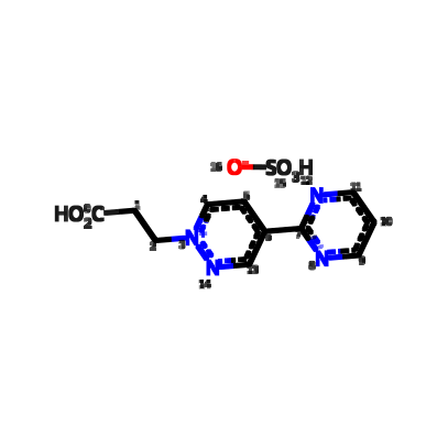 O=C(O)CC[n+]1ccc(-c2ncccn2)cn1.O=S(=O)([O-])O